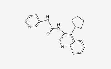 O=C(Nc1cccnc1)Nc1cnc2ccccc2c1C1CCCC1